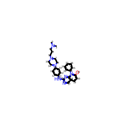 CN(C)CCCN1CCN(c2ccc(Nc3ncc4ccc(=O)n(-c5ccccc5)c4n3)cc2)CC1